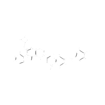 CN(CC(=O)N1CCc2nc(SC3CCC3)n(-c3ccccc3)c(=O)c2C1)c1ccc(OCc2ccc(C(F)(F)F)cc2)cc1